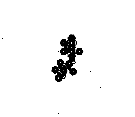 c1ccc(N2c3cc4sc5cc6c(cc5c4cc3B3c4ccccc4N4c5ccccc5B5c7ccccc7Oc7cc2c3c4c75)B2c3ccccc3N3c4ccccc4B4c5ccccc5Oc5cc(c2c3c54)N6c2ccccc2)cc1